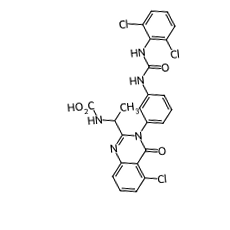 CC(NC(=O)O)c1nc2cccc(Cl)c2c(=O)n1-c1cccc(NC(=O)Nc2c(Cl)cccc2Cl)c1